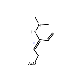 C=C/C(=C\COC(C)=O)NN(C)C